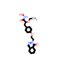 CCOC(Cc1ccc(OCCn2ncc3ccccc3c2=O)cc1)C(=O)NO